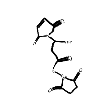 CCCC(CC(=O)O[N+]1C(=O)CCC1=O)N1C(=O)C=CC1=O